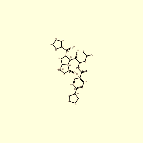 CC(C)CC(NC(=O)c1ccc(N2CCCC2)cc1)C(=O)N1C(C(=O)C2CCCC2)CC2NCC(=O)C21